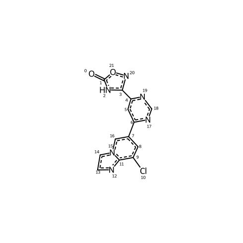 O=c1[nH]c(-c2cc(-c3cc(Cl)c4nccn4c3)ncn2)no1